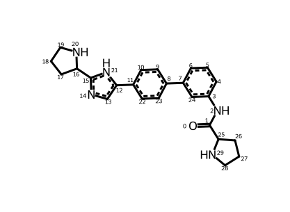 O=C(Nc1cccc(-c2ccc(-c3cnc(C4CCCN4)[nH]3)cc2)c1)C1CCCN1